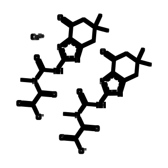 CN(C(=O)Nc1nc2c(s1)C(=O)CC(C)(C)C2)C(=O)C(=O)[O-].CN(C(=O)Nc1nc2c(s1)C(=O)CC(C)(C)C2)C(=O)C(=O)[O-].[Ca+2]